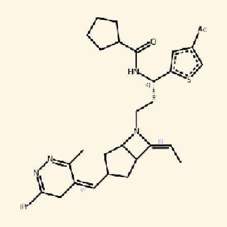 C/C=C1\C2CC(/C=C3/CC(C(C)C)=NN=C3C)CC2N1CC[C@H](NC(=O)C1CCCC1)c1cc(C(C)=O)cs1